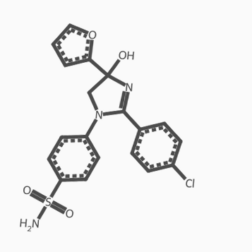 NS(=O)(=O)c1ccc(N2CC(O)(c3ccco3)N=C2c2ccc(Cl)cc2)cc1